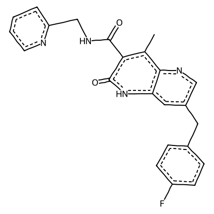 Cc1c(C(=O)NCc2ccccn2)c(=O)[nH]c2cc(Cc3ccc(F)cc3)cnc12